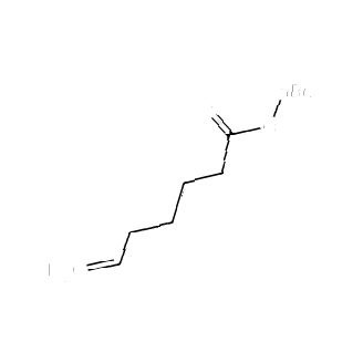 C=CCCCCC(=O)OCCCC